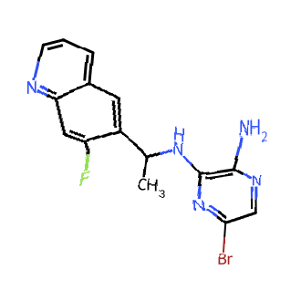 CC(Nc1nc(Br)cnc1N)c1cc2cccnc2cc1F